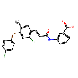 Cc1cc(C=CC(=O)Nc2cccc(C(=O)O)c2)c(Cl)cc1Sc1ccc(F)cc1